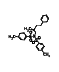 C=C(CCc1ccccc1)CN(S(=O)(=O)c1ccc(C)cc1)S(=O)(=O)c1ccc(C)cc1